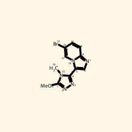 COc1nnc(-c2cnc3ccc(Br)cn23)n1C